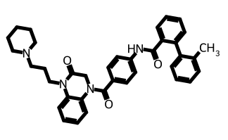 Cc1ccccc1-c1ccccc1C(=O)Nc1ccc(C(=O)N2CC(=O)N(CCCN3CCCCC3)c3ccccc32)cc1